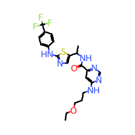 CCOCCCNc1cc(C(=O)NC(C)c2cnc(Nc3ccc(C(F)(F)F)cc3)s2)ncn1